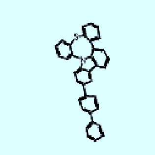 c1ccc(-c2ccc(-c3ccc4c(c3)c3cccc5c6ccccc6sc6ccccc6n4c53)cc2)cc1